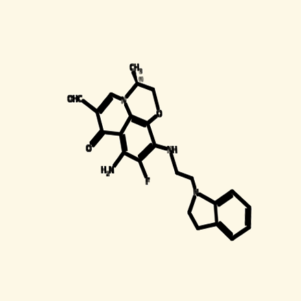 C[C@H]1COc2c(NCCN3CCc4ccccc43)c(F)c(N)c3c(=O)c(C=O)cn1c23